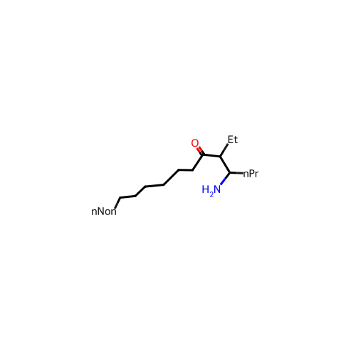 CCCCCCCCCCCCCCCC(=O)C(CC)C(N)CCC